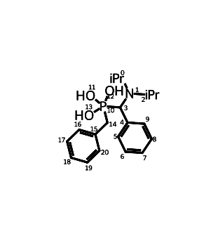 CC(C)N(C(C)C)C(c1ccccc1)P(O)(O)(O)Cc1ccccc1